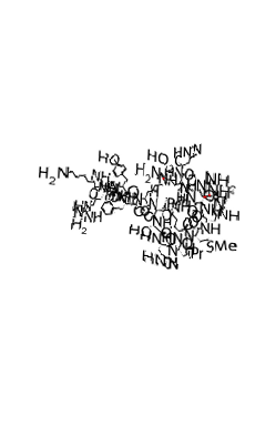 CSCC[C@H](NC(=O)[C@H](CCC(N)=O)NC(=O)[C@H](CC(C)C)NC(=O)[C@H](Cc1cnc[nH]1)NC(=O)[C@H](CO)NC(=O)[C@H](CC(C)C)NC(=O)[C@H](CCCCN)NC(=O)[C@H](Cc1ccccc1)NC(=O)[C@H](Cc1ccc(O)cc1)NC(=O)[C@H](CCCNC(=N)N)NC(=O)[C@@H](N)CCCCN)C(=O)N[C@@H](Cc1cnc[nH]1)C(=O)N[C@@H](CO)C(=O)N[C@@H](CCCNC(=N)N)C(=O)N[C@@H](CCCCN)C(=O)N[C@@H](Cc1cnc[nH]1)C(=O)O